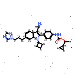 CC(OC(=O)Nc1ccc(-c2c(C#N)c3ccc(CCCn4cncn4)cc3n2C2CCC2)cc1)C1CC1